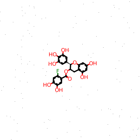 O=C(OC1Cc2c(O)cc(O)cc2O[C@@H]1c1cc(O)c(O)c(O)c1)c1cc(O)c(O)cc1F